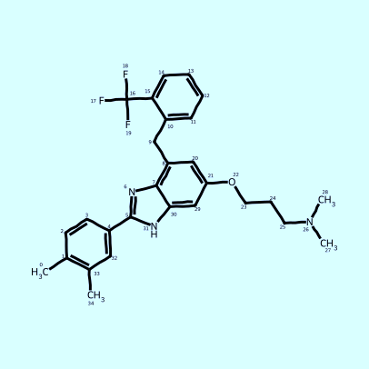 Cc1ccc(-c2nc3c(Cc4ccccc4C(F)(F)F)cc(OCCCN(C)C)cc3[nH]2)cc1C